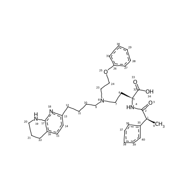 C[C@H](C(=O)N[C@@H](CCN(CCCCc1ccc2c(n1)NCCC2)CCOc1ccccc1)C(=O)O)c1ccccc1